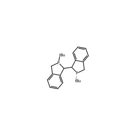 CC(C)(C)P1Cc2ccccc2C1C1c2ccccc2C[P@]1C(C)(C)C